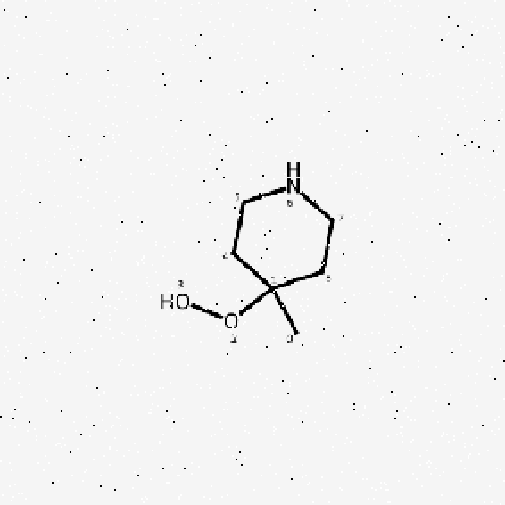 CC1(OO)CCNCC1